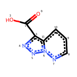 O=C(O)c1nnn2ncccc12